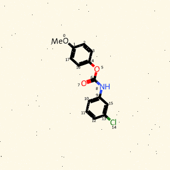 COc1ccc(OC(=O)Nc2cccc(Cl)c2)cc1